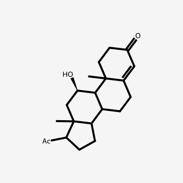 CC(=O)C1CCC2C3CCC4=CC(=O)CCC4(C)C3[C@H](O)CC12C